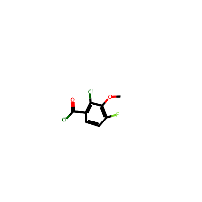 COc1c(F)ccc(C(=O)Cl)c1Cl